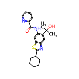 CC(C)(O)c1cc2nc(C3CCCCC3)sc2cc1NC(=O)c1ccccn1